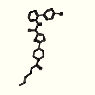 C/C=C/CCC(=O)N1CCC(c2nc(C(=O)Nc3ccccc3-c3ccc(Cl)cc3)cs2)CC1